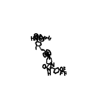 Cc1cc(NS(N)(=O)=O)ccc1C=CS(=O)(=O)N1CCC2(CC1)N=C(c1cccc(OC(F)(F)F)c1)NC2=O